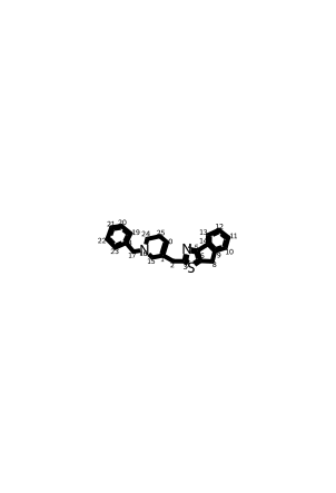 C1=C(Cc2nc3c(s2)Cc2ccccc2-3)CN(Cc2ccccc2)CC1